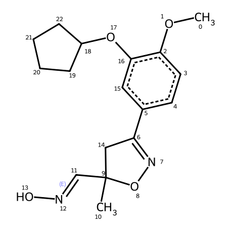 COc1ccc(C2=NOC(C)(/C=N/O)C2)cc1OC1CCCC1